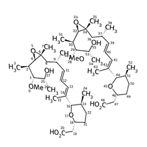 CO[C@H]([C@@H](C)[C@H]1O[C@]1(C)C[C@H](C)/C=C/C=C(\C)[C@H]1O[C@@H](CC(=O)O)CC[C@@H]1C)[C@@H](C)O.CO[C@H]([C@@H](C)[C@H]1O[C@]1(C)C[C@H](C)/C=C/C=C(\C)[C@H]1O[C@@H](CC(=O)O)CC[C@@H]1C)[C@@H](C)O